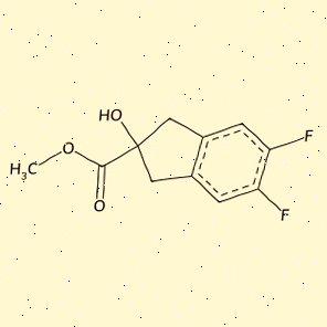 COC(=O)C1(O)Cc2cc(F)c(F)cc2C1